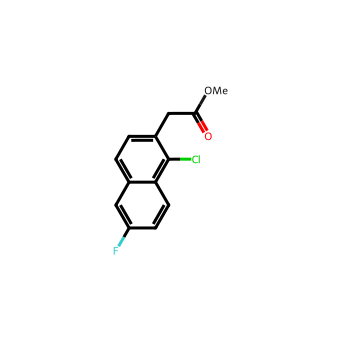 COC(=O)Cc1ccc2cc(F)ccc2c1Cl